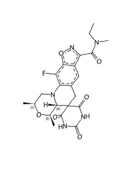 CCN(C)C(=O)c1noc2c(F)c3c(cc12)CC1(C(=O)NC(=O)NC1=O)[C@@H]1[C@@H](C)O[C@@H](C)CN31